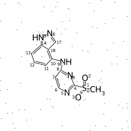 CS(=O)(=O)c1nccc(Nc2cccc3[nH]ncc23)n1